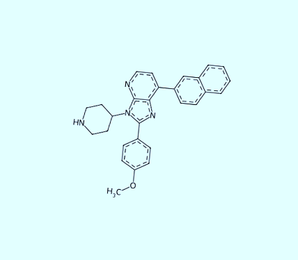 COc1ccc(-c2nc3c(-c4ccc5ccccc5c4)ccnc3n2C2CCNCC2)cc1